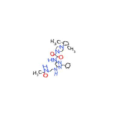 CC(=O)NCCNc1cc(NC(=O)C(=O)N2CCN(c3c(C)cccc3C)CC2)nc(-c2ccccc2)n1